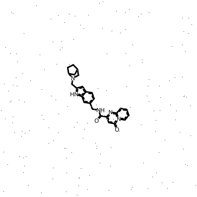 O=C(NCc1ccc2cc(CN3CC4CCC3C4)[nH]c2c1)c1cc(=O)n2ccccc2n1